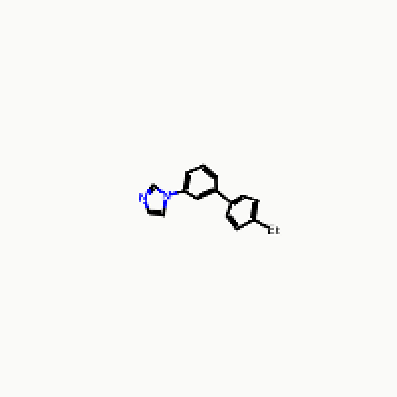 CCc1ccc(-c2cccc(-n3ccnc3)c2)cc1